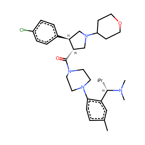 Cc1ccc(N2CCN(C(=O)[C@H]3CN(C4CCOCC4)C[C@@H]3c3ccc(Cl)cc3)CC2)c([C@H](C(C)C)N(C)C)c1